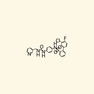 O=C(NCc1cccnc1)Nc1ccc(NS(=O)(=O)c2ccccc2-c2ccc(F)c(Cl)c2)cc1